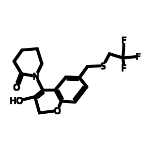 O=C1CCCCN1C1=C(O)COc2ccc(CSCC(F)(F)F)cc21